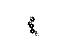 CCOc1cccc(-c2ccc3c(ccn3-c3cccnc3)c2)c1